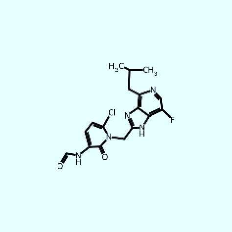 CC(C)Cc1ncc(F)c2[nH]c(Cn3c(Cl)ccc(NC=O)c3=O)nc12